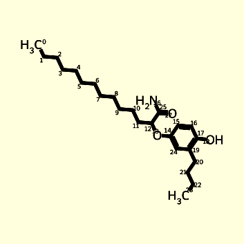 CCCCCCCCCCCCC(Oc1ccc(O)c(CCCC)c1)C(N)=O